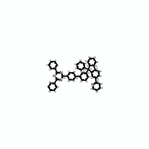 c1ccc(-c2nc(-c3ccccc3)nc(-c3ccc(-c4cccc(C5(c6ccccc6)c6ccccc6-c6ccc(-c7ccccn7)cc65)c4)cc3)n2)cc1